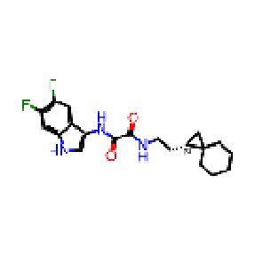 O=C(NCC[C@@H]1CC12CCCCC2)C(=O)Nc1c[nH]c2cc(F)c(F)cc12